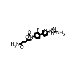 NC(=O)CCC1CN(c2ccc(-c3ccc(-n4cnc(N)n4)nc3)c(F)c2)C(=O)O1